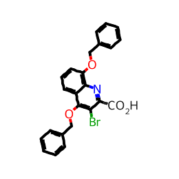 O=C(O)c1nc2c(OCc3ccccc3)cccc2c(OCc2ccccc2)c1Br